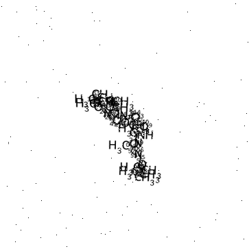 Cc1cc(C(=O)Nc2cccc(-c3cccc(-c4nc5cc(CN(CCO[Si](C)(C)C(C)(C)C)C(=O)OC(C)(C)C)ccc5o4)c3C)c2C)nc2c1CCN(CCO[Si](C)(C)C(C)(C)C)C2